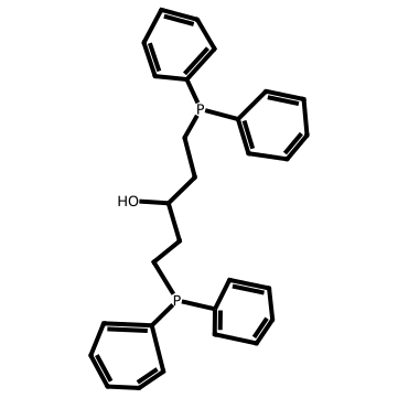 OC(CCP(c1ccccc1)c1ccccc1)CCP(c1ccccc1)c1ccccc1